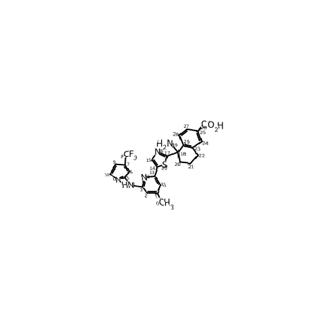 Cc1cc(Nc2cc(C(F)(F)F)ccn2)nc(-c2cnc(C3(N)CCCc4cc(C(=O)O)ccc43)s2)c1